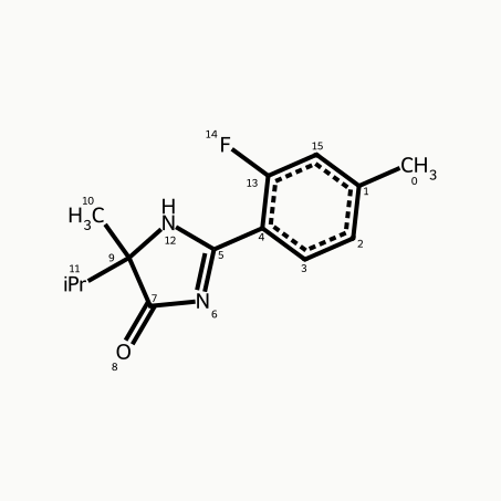 Cc1ccc(C2=NC(=O)C(C)(C(C)C)N2)c(F)c1